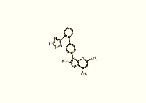 CCc1nc2c(C)cc(C)nc2n1-c1ccc(-c2ccccc2-c2nn[nH]n2)cc1